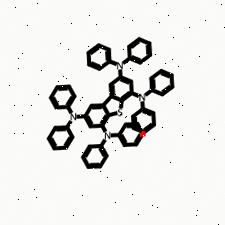 c1ccc(N(c2ccccc2)c2cc(N(c3ccccc3)c3ccccc3)c3sc4c(N(c5ccccc5)c5ccccc5)cc(N(c5ccccc5)c5ccccc5)cc4c3c2)cc1